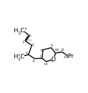 C/C=C/CC(C)CC1CCC(CC(C)C)OC1